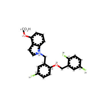 O=C(O)Oc1cccc2c1ccn2Cc1cc(F)ccc1OCc1cc(F)ccc1F